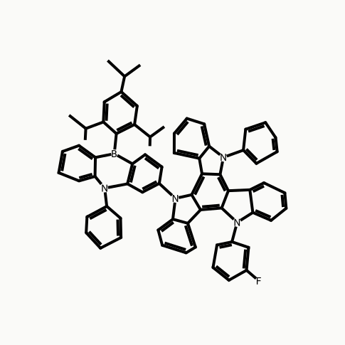 CC(C)c1cc(C(C)C)c(B2c3ccccc3N(c3ccccc3)c3cc(-n4c5ccccc5c5c6c(c7ccccc7n6-c6cccc(F)c6)c6c(c7ccccc7n6-c6ccccc6)c54)ccc32)c(C(C)C)c1